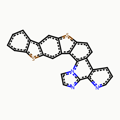 c1ccc2c(c1)sc1cc3c(cc12)sc1ccc2c4cccnc4c4nccn4c2c13